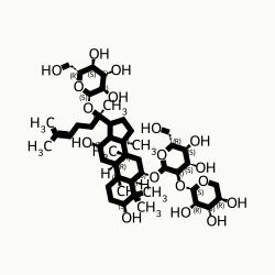 CC(C)=CCC[C@@](C)(O[C@@H]1O[C@H](CO)[C@@H](O)[C@H](O)[C@H]1O)C1CC[C@]2(C)C1[C@H](O)C[C@@H]1[C@@]3(C)CC[C@H](O)C(C)(C)[C@@H]3[C@@H](OC3O[C@H](CO)[C@@H](O)[C@H](O)[C@H]3O[C@@H]3OC[C@@H](O)[C@H](O)[C@H]3O)C[C@]12C